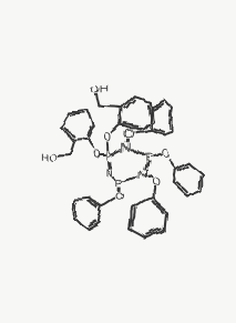 OCc1ccccc1OP1(Oc2ccccc2CO)=NP(Oc2ccccc2)N(Oc2ccccc2)P(Oc2ccccc2)N1Oc1ccccc1